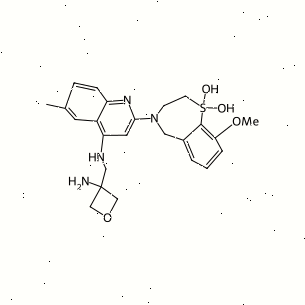 COc1cccc2c1S(O)(O)CCN(c1cc(NCC3(N)COC3)c3cc(C)ccc3n1)C2